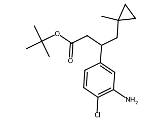 CC1(CC(CC(=O)OC(C)(C)C)c2ccc(Cl)c(N)c2)CC1